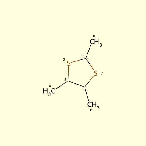 C[C]1SC(C)C(C)S1